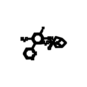 Cc1cc(F)c(NC(=O)N2C3CC(C)CC2C3)cc1-c1cccnn1